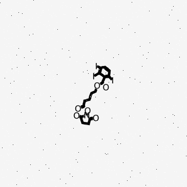 O=C(CCCCOC(=O)c1c(I)ccc(I)c1I)ON1C(=O)CCC1=O